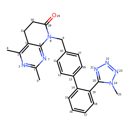 Cc1nc(C)c2c(n1)N(Cc1ccc(-c3ccccc3-c3nnnn3C)cc1)C(=O)CC2